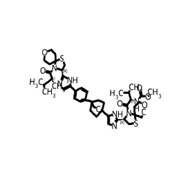 COC(=O)N[C@H](C(=O)N1[C@H](c2ncc(C34CCC(c5ccc(-c6cnc([C@@H]7CSC8(CCOCC8)N7C(=O)[C@@H](C)C(C)C)[nH]6)cc5)(CC3)CC4)[nH]2)CSC12CCOCC2)C(C)C